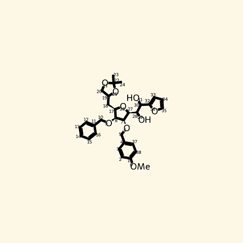 COc1ccc(CO[C@@H]2[C@@H](OCc3ccccc3)[C@@H](CC3COC(C)(C)O3)O[C@H]2C(O)C(O)c2ccco2)cc1